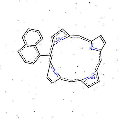 C1=Cc2cc3ccc([nH]3)c(-c3cccc4ccccc34)c3nc(cc4ccc(cc1n2)[nH]4)C=C3